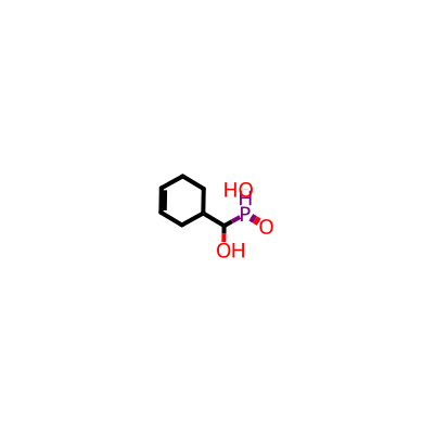 O=[PH](O)C(O)C1CC=CCC1